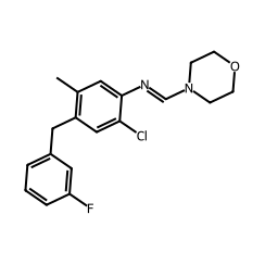 Cc1cc(N=CN2CCOCC2)c(Cl)cc1Cc1cccc(F)c1